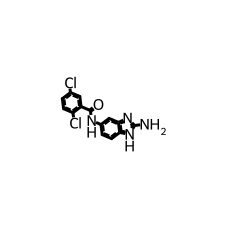 Nc1nc2cc(NC(=O)c3cc(Cl)ccc3Cl)ccc2[nH]1